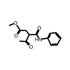 COC(=O)CC(C(C)=O)C(=O)Nc1ccccc1